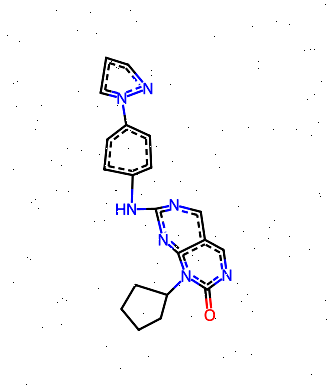 O=c1ncc2cnc(Nc3ccc(-n4cccn4)cc3)nc2n1C1CCCC1